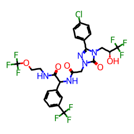 O=C(Cn1nc(-c2ccc(Cl)cc2)n(C[C@H](O)C(F)(F)F)c1=O)NC(C(=O)NCCOC(F)(F)F)c1cccc(C(F)(F)F)c1